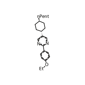 CCCCC[C@H]1CC[C@H](c2cnc(-c3ccc(OCC)cc3)nc2)CC1